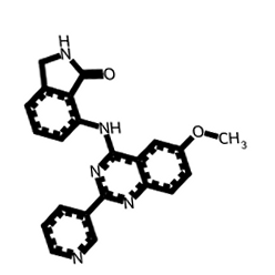 COc1ccc2nc(-c3cccnc3)nc(Nc3cccc4c3C(=O)NC4)c2c1